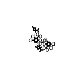 CC1CC(C)(C(C)COC(=O)c2c(Cl)c(Cl)cc(Cl)c2OC(=O)C(=O)Oc2c(Cl)cc(Cl)c(Cl)c2C(=O)OCC(C)C2(C)CC(C)C2)C1